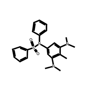 Cc1c(N(C)C)cc(N(c2ccccc2)S(=O)(=O)c2ccccc2)cc1N(C)C